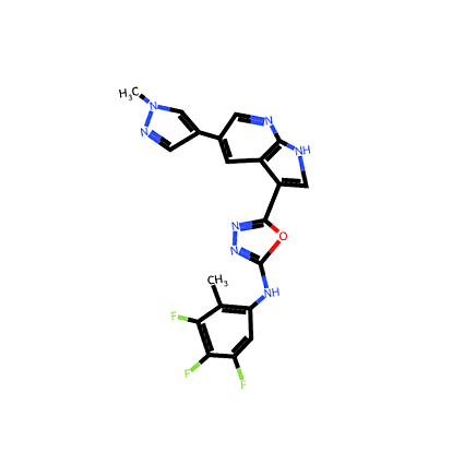 Cc1c(Nc2nnc(-c3c[nH]c4ncc(-c5cnn(C)c5)cc34)o2)cc(F)c(F)c1F